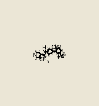 Cc1cnccc1C(=O)Nc1ccc(-c2cc(C(F)(F)F)ccc2Cl)cc1